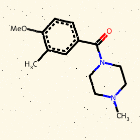 COc1ccc(C(=O)N2CCN(C)CC2)cc1C